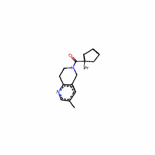 Cc1cnc2c(c1)CN(C(=O)C1(C(C)C)CCCC1)CC2